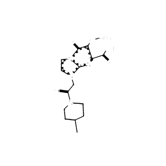 CCCCOc1c(C(=O)S)nc2n(CC(=O)N3CCC(C)CC3)ccn2c1=O